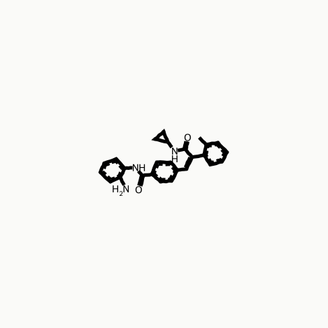 Cc1ccccc1C(=Cc1ccc(C(=O)Nc2ccccc2N)cc1)C(=O)NC1CC1